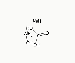 O=C(O)O.[NaH].[OH][AlH2]